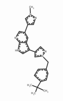 Cn1cc(-c2cnc3[nH]cc(-c4cnn(Cc5ccc(C(C)(C)C)cc5)c4)c3c2)cn1